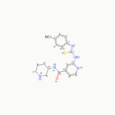 N#Cc1ccc2nc(Nc3cc(C(=O)NC4CCCNC4)ccn3)sc2c1